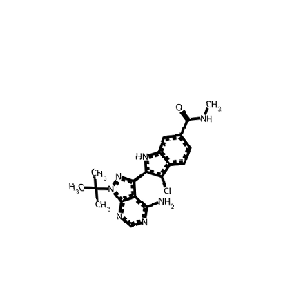 CNC(=O)c1ccc2c(Cl)c(-c3nn(C(C)(C)C)c4ncnc(N)c34)[nH]c2c1